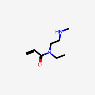 C=CC(=O)N(CC)CCNC